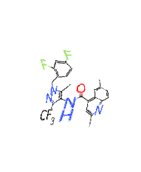 Cc1ccc2nc(C)cc(C(=O)Nc3c(C(F)(F)F)nn(Cc4ccc(F)cc4F)c3C)c2c1